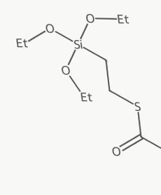 C=CC(=O)SCC[Si](OCC)(OCC)OCC